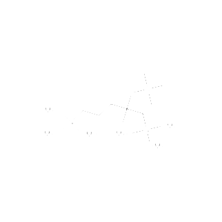 CO[Si](CCCC(F)(C[Si](OC)(OC)OC)O[Si](C)(C)C)(OC)OC